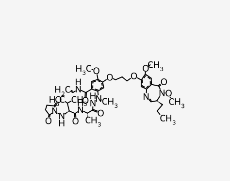 C=CNC(=O)c1cc(OC)c(OCCCOc2cc3c(cc2OC)C(=O)N(OC)[C@@H](CCC)C=N3)cc1N(C)NC(=O)[C@H](C)NC(=O)[C@@H](NN1C(=O)CCC1=O)C(C)C